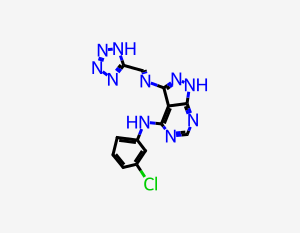 Clc1cccc(Nc2ncnc3[nH]nc(N=Cc4nnn[nH]4)c23)c1